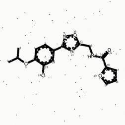 CC(C)Oc1ccc(-c2noc(CNC(=O)c3ccco3)n2)cc1Cl